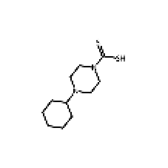 S=C(S)N1CCN(C2CCCCC2)CC1